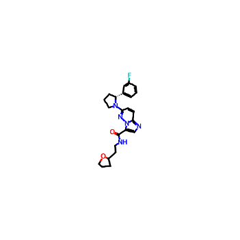 O=C(NCCC1CCCO1)c1cnc2ccc(N3CCC[C@@H]3c3cccc(F)c3)nn12